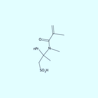 C=C(C)C(=O)N(C)C(C)(CCC)CS(=O)(=O)O